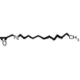 CCCCCCCCCCC[CH2][Po][CH2]C1CO1